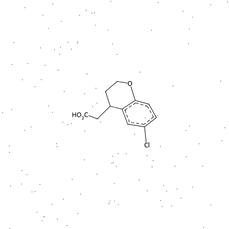 O=C(O)CC1CCOc2ccc(Cl)cc21